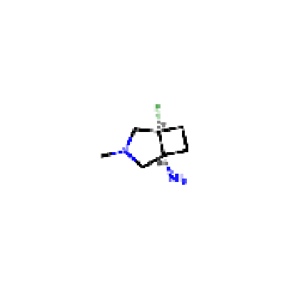 CN1C[C@]2(N)CC[C@]2(F)C1